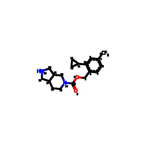 O=C(OCc1ccc(C(F)(F)F)cc1C1CC1)N1CCC2CNCC2C1